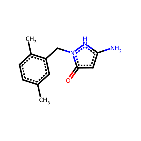 Cc1ccc(C)c(Cn2[nH]c(N)cc2=O)c1